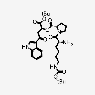 CC(C)(C)OC(=O)NCCCC[C@H](N)C(=O)N1CCC[C@H]1C(=O)OC(CC(=O)c1c[nH]c2ccccc12)C(=O)OC(C)(C)C